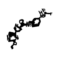 CCOc1cncc(-c2ccc(C(=O)NCc3cccc(NSC(F)F)c3)nc2)n1